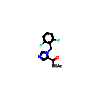 CC(=O)NC(=O)c1cncn1Cc1c(F)cccc1F